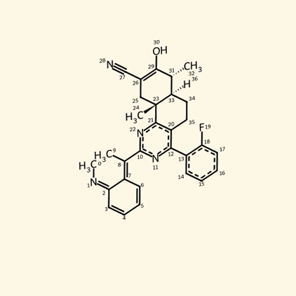 C/N=C1/C=CC=C/C1=C(/C)c1nc(-c2ccccc2F)c2c(n1)[C@]1(C)CC(C#N)=C(O)[C@H](C)[C@H]1CC2